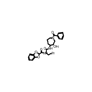 CC(C)CC(NC(=O)C1Oc2ccccc2O1)C(=O)NC1CCCN(C(=O)c2ccccc2)CC1O